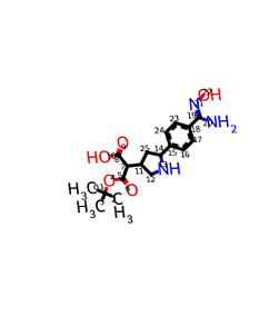 CC(C)(C)OC(=O)C(C(=O)O)C1CNC(c2ccc(C(N)=NO)cc2)C1